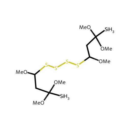 COC(CC([SiH3])(OC)OC)SSSSC(CC([SiH3])(OC)OC)OC